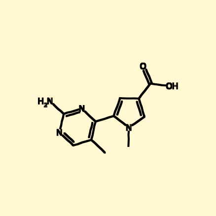 Cc1cnc(N)nc1-c1cc(C(=O)O)cn1C